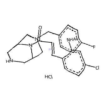 CC(=O)Nc1cc(Cl)ccc1/C=C/C(=O)N1C2CNCC1CN(Cc1ccc(F)cc1)C2.Cl